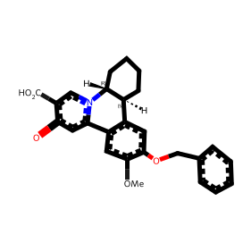 COc1cc2c(cc1OCc1ccccc1)[C@@H]1CCCC[C@H]1n1cc(C(=O)O)c(=O)cc1-2